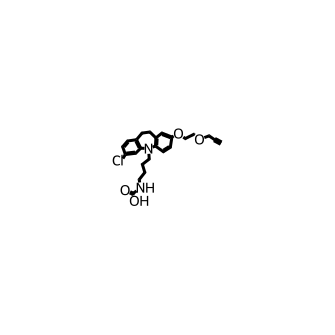 C#CCOCCOc1ccc2c(c1)CCc1ccc(Cl)cc1N2CCCCNC(=O)O